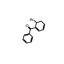 CC(=O)C1CC=CC=C1C(=O)c1ccccc1